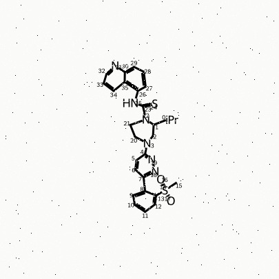 CC(C)C1CN(c2ccc(-c3ccccc3S(C)(=O)=O)nn2)CCN1C(=S)Nc1cccc2ncccc12